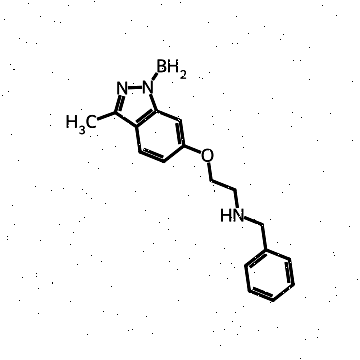 Bn1nc(C)c2ccc(OCCNCc3ccccc3)cc21